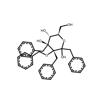 OC[C@H]1OC(O)(Cc2ccccc2)[C@](Cc2ccccc2)(OCc2ccccc2)[C@](O)(Cc2ccccc2)[C@@H]1O